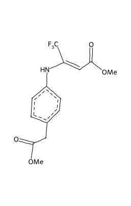 COC(=O)C=C(Nc1ccc(CC(=O)OC)cc1)C(F)(F)F